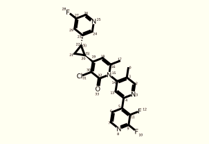 Cc1cnc(-c2ccnc(F)c2F)cc1-n1c(C)cc([C@H]2C[C@@H]2c2cncc(F)c2)c(Cl)c1=O